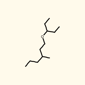 CCCC(C)CCOC(CC)CC